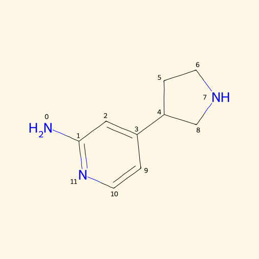 Nc1cc(C2CCNC2)ccn1